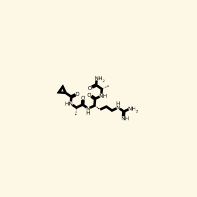 C[C@H](NC(=O)[C@H](CCCNC(=N)N)NC(=O)[C@H](C)NC(=O)C1CC1)C(N)=O